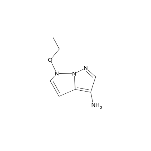 CCOn1ccc2c(N)cnn21